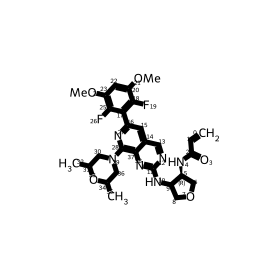 C=CC(=O)N[C@H]1COCC1Nc1ncc2cc(-c3c(F)c(OC)cc(OC)c3F)nc(N3CC(C)OC(C)C3)c2n1